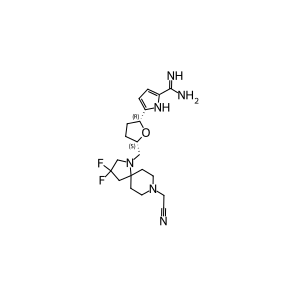 N#CCN1CCC2(CC1)CC(F)(F)CN2C[C@@H]1CC[C@H](c2ccc(C(=N)N)[nH]2)O1